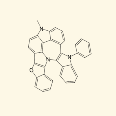 Cn1c2cccc3c2c2c1ccc1c4oc5ccccc5c4n(c12)c1c2ccccc2n(-c2ccccc2)c31